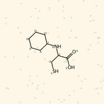 O=C(O)C(CS)NC1CCCCC1